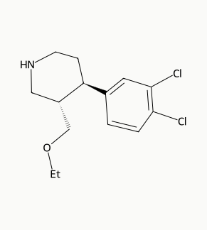 CCOC[C@@H]1CNCC[C@H]1c1ccc(Cl)c(Cl)c1